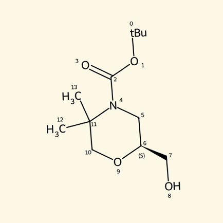 CC(C)(C)OC(=O)N1C[C@@H](CO)OCC1(C)C